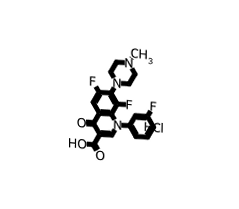 CN1CCN(c2c(F)cc3c(=O)c(C(=O)O)cn(-c4cccc(F)c4)c3c2F)CC1.Cl